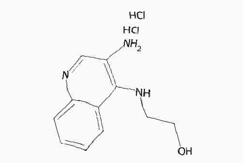 Cl.Cl.Nc1cnc2ccccc2c1NCCO